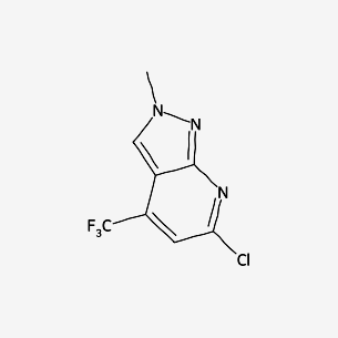 Cn1cc2c(C(F)(F)F)cc(Cl)nc2n1